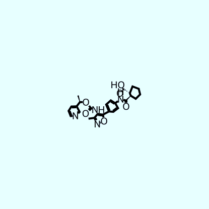 Cc1noc(-c2ccc(NC(=O)[C@@H]3CCCC[C@H]3C(=O)O)cc2)c1NC(=O)O[C@H](C)c1cccnc1